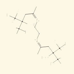 CC(CC(O)(C(F)(F)F)C(F)(F)F)=NCCN=C(C)CC(O)(C(F)(F)F)C(F)(F)F